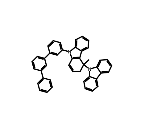 CC1(n2c3ccccc3c3ccccc32)CC=Cc2c1c1ccccc1n2-c1cccc(-c2cccc(-c3ccccc3)c2)c1